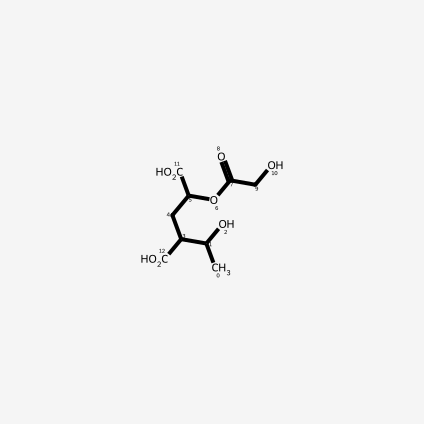 CC(O)C(CC(OC(=O)CO)C(=O)O)C(=O)O